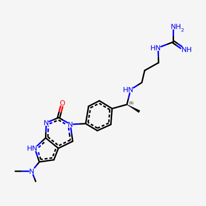 C[C@H](NCCCNC(=N)N)c1ccc(-n2cc3cc(N(C)C)[nH]c3nc2=O)cc1